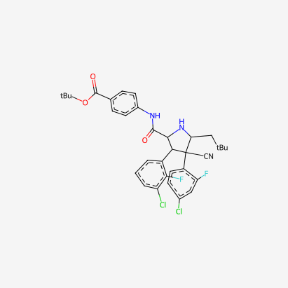 CC(C)(C)CC1NC(C(=O)Nc2ccc(C(=O)OC(C)(C)C)cc2)C(c2cccc(Cl)c2F)C1(C#N)c1ccc(Cl)cc1F